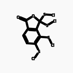 O=C1OC(SCl)(SCl)c2c1ccc(SCl)c2SCl